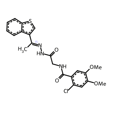 COc1cc(Cl)c(C(=O)NCC(=O)N/N=C(\C)c2csc3ccccc23)cc1OC